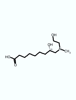 CN(CCO)C[C@@H](O)CCCCCCC(=O)O